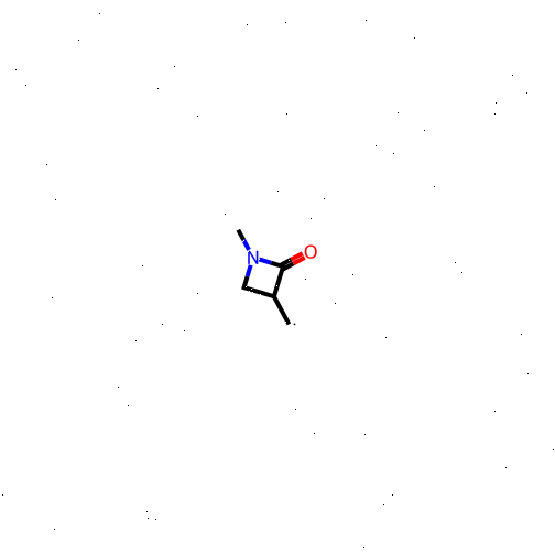 [CH2]C1CN(C)C1=O